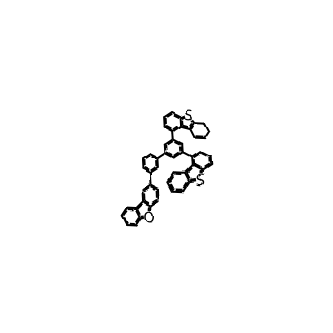 C1=Cc2c(sc3cccc(-c4cc(-c5cccc(-c6ccc7oc8ccccc8c7c6)c5)cc(-c5cccc6sc7ccccc7c56)c4)c23)CC1